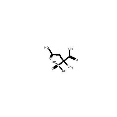 CC(CC(=O)O)(C(=O)O)P(=O)(O)O